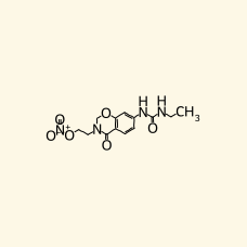 CCNC(=O)Nc1ccc2c(c1)OCN(CCO[N+](=O)[O-])C2=O